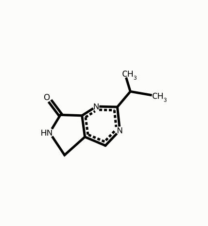 CC(C)c1ncc2c(n1)C(=O)NC2